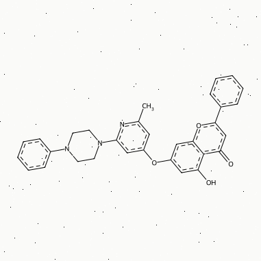 Cc1cc(Oc2cc(O)c3c(=O)cc(-c4ccccc4)oc3c2)cc(N2CCN(c3ccccc3)CC2)n1